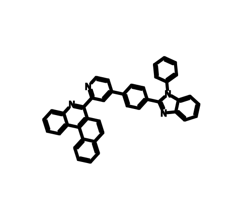 c1ccc(-n2c(-c3ccc(-c4ccnc(-c5nc6ccccc6c6c5ccc5ccccc56)c4)cc3)nc3ccccc32)cc1